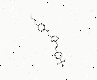 FC(F)(F)c1ccc(C=Cc2nc(COc3ccc(CCCI)cc3)co2)cc1